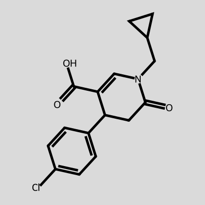 O=C(O)C1=CN(CC2CC2)C(=O)CC1c1ccc(Cl)cc1